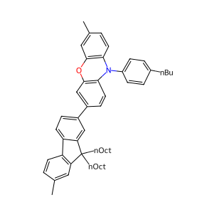 CCCCCCCCC1(CCCCCCCC)c2cc(C)ccc2-c2ccc(-c3ccc4c(c3)Oc3cc(C)ccc3N4c3ccc(CCCC)cc3)cc21